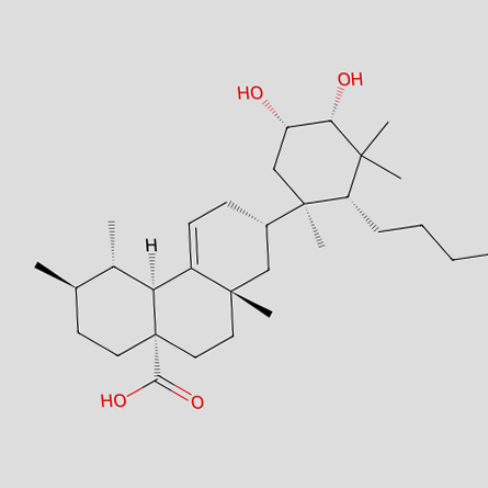 CCCC[C@H]1C(C)(C)[C@@H](O)[C@@H](O)C[C@]1(C)[C@H]1CC=C2[C@@H]3[C@@H](C)[C@H](C)CC[C@]3(C(=O)O)CC[C@@]2(C)C1